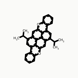 CC(C)c1cc2c3ccccc3oc3cc4c(C(C)C)cc5c6ccccc6oc6cc1c(c32)c4c65